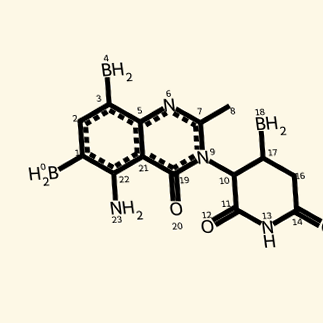 Bc1cc(B)c2nc(C)n(C3C(=O)NC(=O)CC3B)c(=O)c2c1N